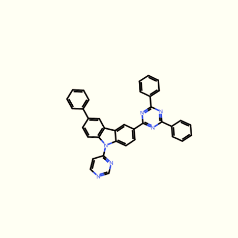 c1ccc(-c2ccc3c(c2)c2cc(-c4nc(-c5ccccc5)nc(-c5ccccc5)n4)ccc2n3-c2ccncn2)cc1